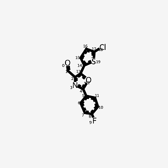 O=Cc1nc(-c2ccc(F)cc2)oc1-c1ccc(Cl)s1